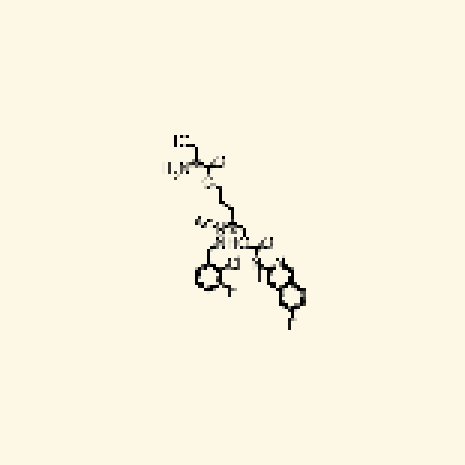 CC(=O)N(NCc1cccc(F)c1Cl)[C@@H](CCCOC(=O)[C@@H](N)CO)COC(=O)Nc1cc2cc(F)ccc2cn1